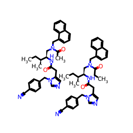 CCC(=O)N(Cc1cccc2ccccc12)C[C@@H](NC(=O)Cc1cncn1Cc1ccc(C#N)cc1)[C@@H](C)CC.CC[C@H](C)[C@@H](CN(Cc1cccc2ccccc12)C(C)=O)NC(=O)Cc1cncn1Cc1ccc(C#N)cc1